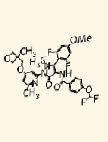 COc1cc(F)c(-c2c(NC(=O)c3ccc(OC(F)F)cc3)c(=O)n(-c3cc(OCC4(C)COC4)cc(C)n3)n2C)c(F)c1